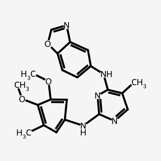 COc1cc(Nc2ncc(C)c(Nc3ccc4ocnc4c3)n2)cc(C)c1OC